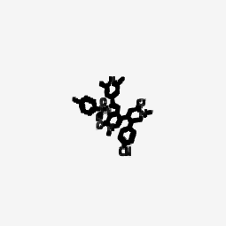 Cc1ccc(S(=O)(=O)n2c(-c3cc(C)nc(C)c3)cc3c(-c4cc(=O)n(C)cc4-c4ccc(C#N)cc4)cn(C)c(=O)c32)cc1